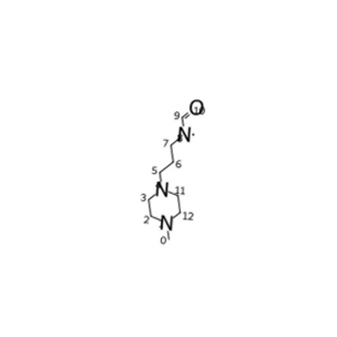 CN1CCN(CCC[N]C=O)CC1